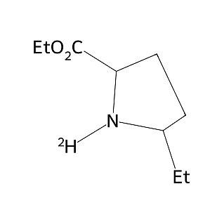 [2H]N1C(CC)CCC1C(=O)OCC